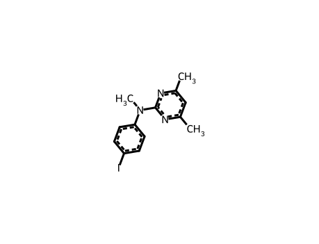 Cc1cc(C)nc(N(C)c2ccc(I)cc2)n1